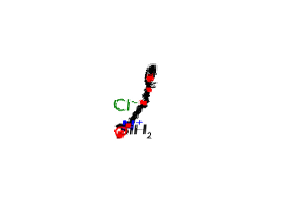 CCCCCCCCCCCCCCCCCC[N+](C)(C)C(CC)[SiH2]OCC.[Cl-]